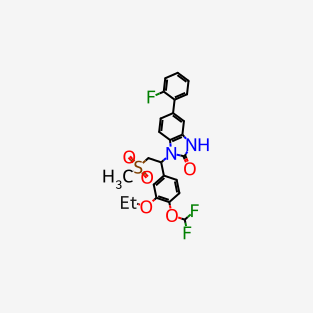 CCOc1cc(C(CS(C)(=O)=O)n2c(=O)[nH]c3cc(-c4ccccc4F)ccc32)ccc1OC(F)F